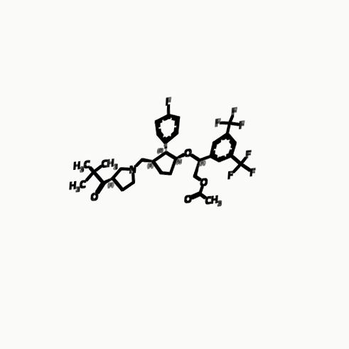 CC(=O)OC[C@@H](O[C@H]1CC[C@@H](CN2CC[C@@H](C(=O)C(C)(C)C)C2)[C@@H]1c1ccc(F)cc1)c1cc(C(F)(F)F)cc(C(F)(F)F)c1